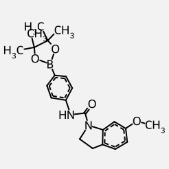 COc1ccc2c(c1)N(C(=O)Nc1ccc(B3OC(C)(C)C(C)(C)O3)cc1)CC2